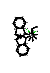 C[CH]=[Hf]([CH3])([CH3])([CH3])([CH3])([Cl])([Cl])([CH]1C=Cc2ccccc21)[CH]1C=Cc2ccccc21